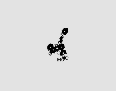 COc1cc(COC2CN(C(=O)O)CCC2c2ccc(OCCCSc3ccccc3)cc2)c(OC)c2ccccc12